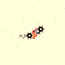 Cc1ccc(S(=O)(=O)OC(Cc2ccccc2)[N+](=O)[O-])cc1